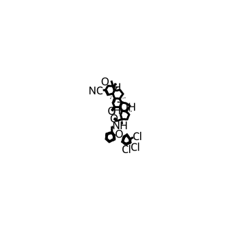 CC1(C)C(=O)C(C#N)=C[C@]2(C)C3=CC(=O)[C@]4(O)[C@@H]5C[C@@](C)(C(=O)NCc6ccccc6Oc6cc(Cl)c(Cl)c(Cl)c6)CC[C@]5(C)CC[C@@]4(C)[C@]3(C)CC[C@@H]12